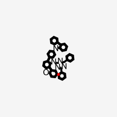 c1ccc(-c2nc(-c3ccccc3)nc(-n3c4cc(-n5c6ccccc6c6ccccc65)ccc4c4ccc5oc6ccccc6c5c43)n2)cc1